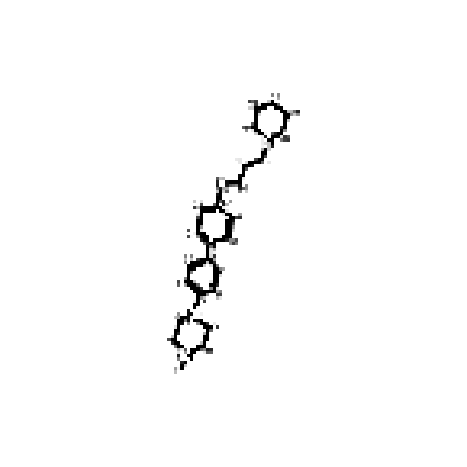 CN1CCN(c2ccc(-c3ccc(OCCCN4CCCCC4)cc3)cc2)CC1